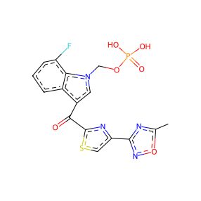 Cc1nc(-c2csc(C(=O)c3cn(COP(=O)(O)O)c4c(F)cccc34)n2)no1